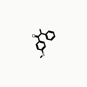 CSc1ccc(C(=O)C(C)c2ccccc2)cc1